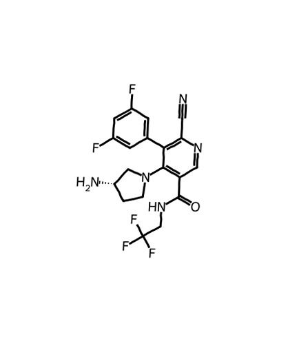 N#Cc1ncc(C(=O)NCC(F)(F)F)c(N2CC[C@H](N)C2)c1-c1cc(F)cc(F)c1